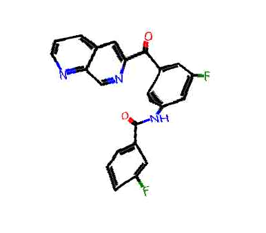 O=C(Nc1cc(F)cc(C(=O)c2cc3cccnc3cn2)c1)c1cccc(F)c1